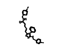 Cc1ccc(CSc2nnc(CCCCC(=O)NCc3ccc(F)cc3)n2-c2ccccc2)cc1